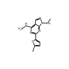 Cc1ccc(-c2nc(NN)c3cnn(PI)c3n2)o1